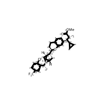 COC(=O)[C@H](C)[C@H](c1ccc2c(c1)O[C@@H]([C@@H]1C[C@H]3C[C@H]1CN3[C@H](C)c1cc(C(F)(F)F)ccc1C(F)(F)F)CC2)C1CC1